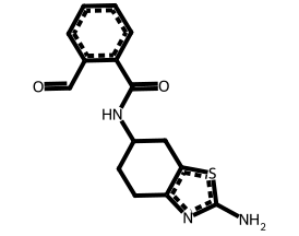 Nc1nc2c(s1)CC(NC(=O)c1ccccc1C=O)CC2